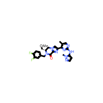 COC[C@@H]1Cn2cc(-c3nc(Nc4ccnn4C)ncc3C)nc2C(=O)N1Cc1ccc(F)c(F)c1